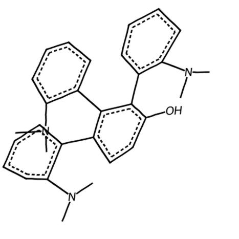 CN(C)c1ccccc1-c1ccc(O)c(-c2ccccc2N(C)C)c1-c1ccccc1N(C)C